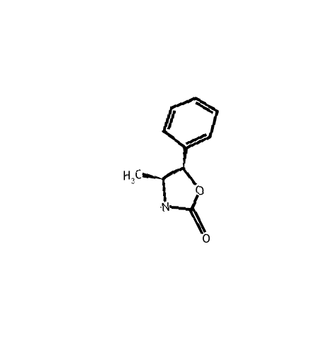 C[C@@H]1[N]C(=O)O[C@@H]1c1ccccc1